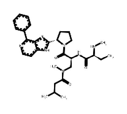 CC[C@H](NC)C(=O)N[C@@H](CN(C)C(=O)CC(C)C)C(=O)N1CCC[C@H]1c1nc2c(-c3ccccc3)nccc2[nH]1